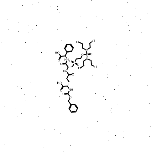 O=C(CC[C@H](NC(=O)OCc1ccccc1)C(=O)O)N[C@@H](CS(=O)(=O)CCOP(=O)(N(CCCl)CCCl)N(CCCl)CCCl)C(=O)N[C@@H](C(=O)O)c1ccccc1